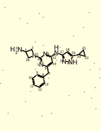 NC1CN(c2nc(Cc3ccccc3)cc(Nc3cc(C4CC4)[nH]n3)n2)C1